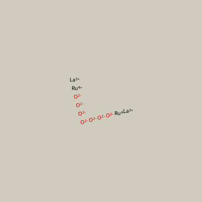 [La+3].[La+3].[O-2].[O-2].[O-2].[O-2].[O-2].[O-2].[O-2].[Ru+4].[Ru+4]